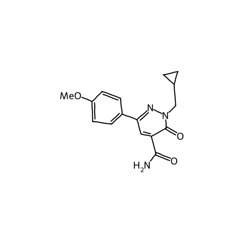 COc1ccc(-c2cc(C(N)=O)c(=O)n(CC3CC3)n2)cc1